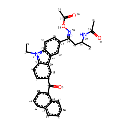 CCn1c2ccc(C(=O)c3cccc4ccccc34)cc2c2cc(/C(CC(C)NC(C)=O)=N\OC(C)=O)ccc21